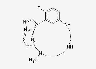 CN1CCCNCCNc2ccc(F)c(c2)-c2cnn3ccc1nc23